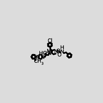 Cc1ccccc1N1CCN(CC(O)Cn2nc(-c3ccc(Cl)cc3)c3c2CCN(OC(=O)NCCc2ccccc2)C3)CC1